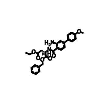 CCOC(=O)C[C@H](NC(=O)c1ccc(-c2ccc(OC)cc2)cc1N)C(=O)OCc1ccccc1